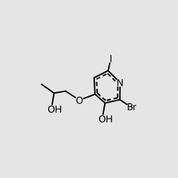 CC(O)COc1cc(I)nc(Br)c1O